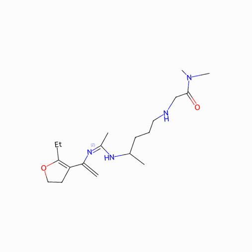 C=C(/N=C(/C)NC(C)CCCNCC(=O)N(C)C)C1=C(CC)OCC1